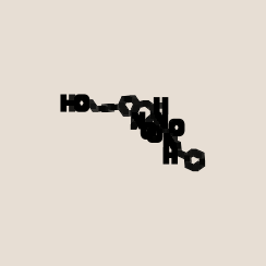 CN1C(=O)C(NC(=O)C(=O)NCCc2ccccc2)CCc2ccc(C#CCCO)cc21